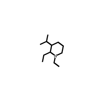 CCC1C(C(C)C)CCCN1CC